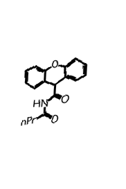 CCCC(=O)NC(=O)C1c2ccccc2Oc2ccccc21